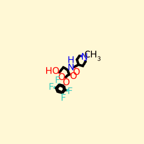 CN1CCC(C(=O)NC(CC(=O)O)C(=O)COc2c(F)c(F)cc(F)c2F)CC1